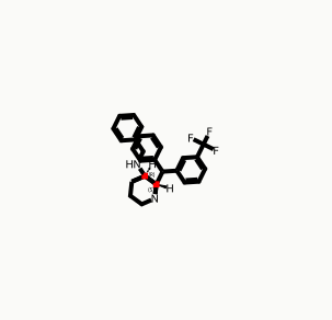 FC(F)(F)c1cccc(C(c2ccccc2)[C@H]2[C@H](NCc3ccccc3)C3CCN2CC3)c1